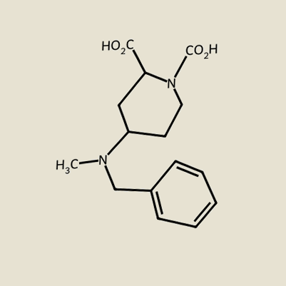 CN(Cc1ccccc1)C1CCN(C(=O)O)C(C(=O)O)C1